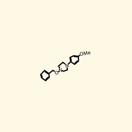 COc1ccc(N2C[CH]N(OCc3ccccc3)CC2)cc1